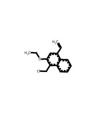 C=Cc1cc(OCC)c(CCl)c2ccccc12